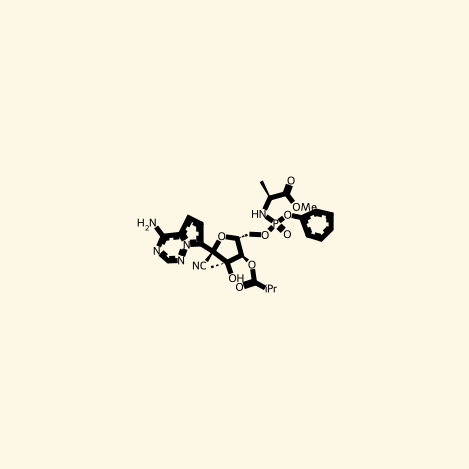 COC(=O)[C@H](C)NP(=O)(OC[C@H]1O[C@@](C#N)(c2ccc3c(N)ncnn23)[C@](C)(O)[C@@H]1OC(=O)C(C)C)Oc1ccccc1